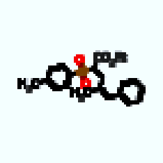 CCOC(=O)C(CC(C)=Cc1ccccc1)S(=O)(=O)c1ccc(C)cc1